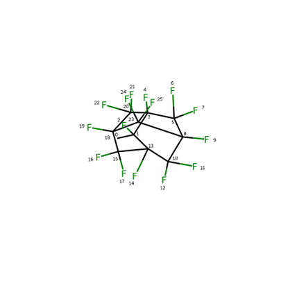 CC1(F)C2(F)C(F)(F)C3(F)C(F)(F)C1(F)C(F)(F)C(F)(C2(F)F)C3(F)F